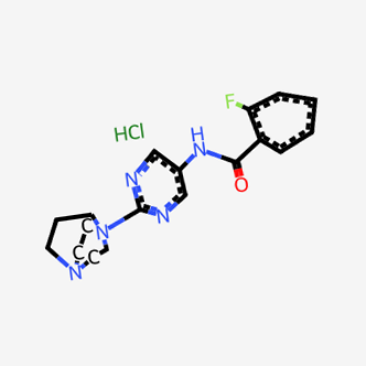 Cl.O=C(Nc1cnc(N2CCN3CCC2CC3)nc1)c1ccccc1F